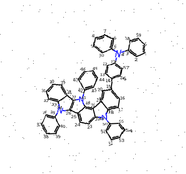 c1ccc(N(c2ccccc2)c2ccc(-c3ccc4c(c3)c3c(ccc5c6c(c7ccccc7n6-c6ccccc6)n(-c6ccccc6)c53)n4-c3ccccc3)cc2)cc1